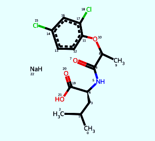 CC(C)C[C@H](NC(=O)C(C)Oc1ccc(Cl)cc1Cl)C(=O)O.[NaH]